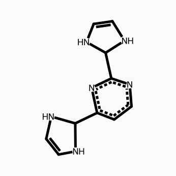 C1=CNC(c2ccnc(C3NC=CN3)n2)N1